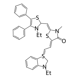 CCN1CS(=CC=c2sc(=CC3SC(c4ccccc4)=C(c4ccccc4)N3CC)n(C)c2=O)c2ccccc21